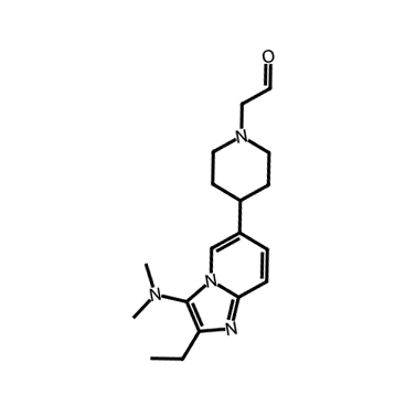 CCc1nc2ccc(C3CCN(CC=O)CC3)cn2c1N(C)C